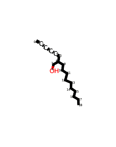 C=C=C=C=C=CC(CO)CCCCCCCCCC